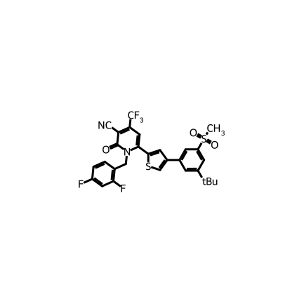 CC(C)(C)c1cc(-c2csc(-c3cc(C(F)(F)F)c(C#N)c(=O)n3Cc3ccc(F)cc3F)c2)cc(S(C)(=O)=O)c1